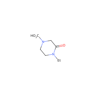 CCN1CCN(C(=O)O)CC1=O